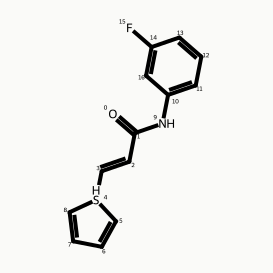 O=C(C=C[SH]1C=CC=C1)Nc1cccc(F)c1